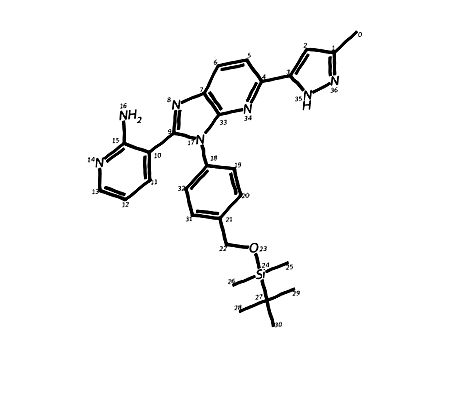 Cc1cc(-c2ccc3nc(-c4cccnc4N)n(-c4ccc(CO[Si](C)(C)C(C)(C)C)cc4)c3n2)[nH]n1